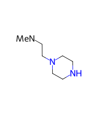 [CH2-][NH2+]CCN1CCNCC1